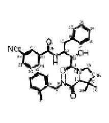 Cc1ccccc1CNC(=O)[C@H]1N(C(=O)[C@@H](O)[C@H](Cc2ccccc2)NC(=O)c2cccc(C#N)c2)CSC1(C)C